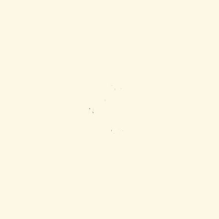 [Co+2].[Co+2].[Co+2].[N-3].[P-3]